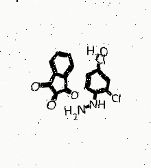 NNc1ccc(Cl)cc1Cl.O.O=c1c(=O)c2ccccc2c1=O